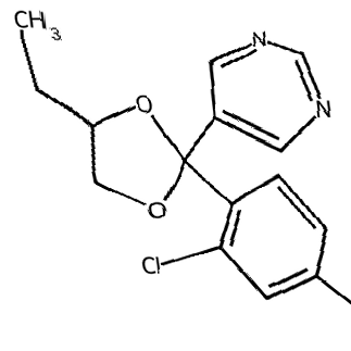 CCC1COC(c2cncnc2)(c2ccc(Cl)cc2Cl)O1